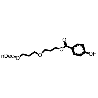 CCCCCCCCCCOCCCOCCCOC(=O)c1ccc(O)cc1